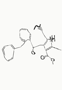 COC(=O)c1c(C)[nH]c(C#N)c1C(=O)c1ccccc1Cc1ccccc1